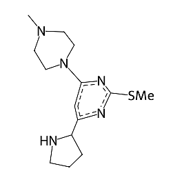 CSc1nc(C2CCCN2)cc(N2CCN(C)CC2)n1